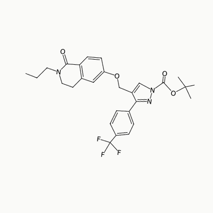 CCCN1CCc2cc(OCc3cn(C(=O)OC(C)(C)C)nc3-c3ccc(C(F)(F)F)cc3)ccc2C1=O